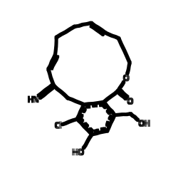 N=C1/C=C/CC/C=C/CCOC(=O)c2c(CO)cc(O)c(Cl)c2C1